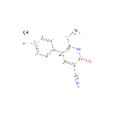 CCc1[nH]c(=O)c(C#N)cc1-c1ccc(SC)cc1